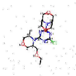 CCOCC1COCC(C)N1c1nc(Cl)nc(N2C3COCC2COC3)n1